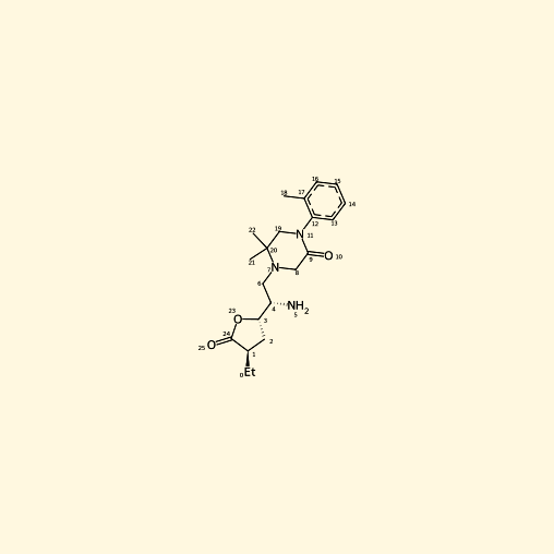 CC[C@@H]1C[C@@H]([C@@H](N)CN2CC(=O)N(c3ccccc3C)CC2(C)C)OC1=O